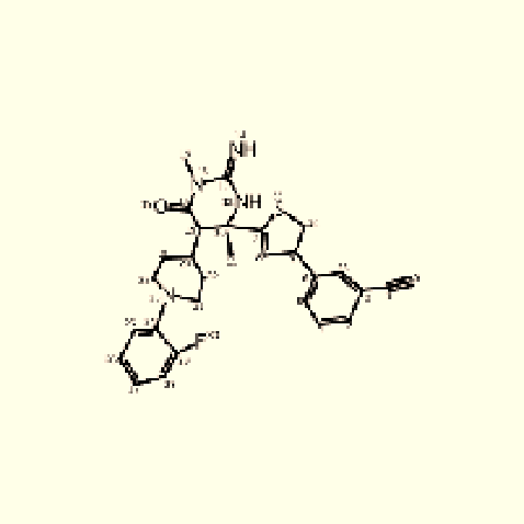 C#Cc1cccc(C2C=C([C@@]3(C)NC(=N)N(C)C(=O)[C@@H]3C3CCN(c4ccccc4F)CC3)SC2)c1